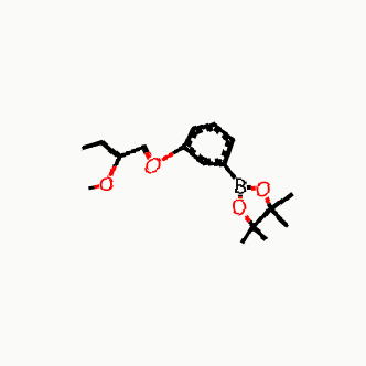 CCC(COc1cccc(B2OC(C)(C)C(C)(C)O2)c1)OC